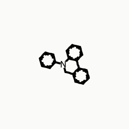 c1ccc(N2Cc3ccccc3-c3ccccc32)cc1